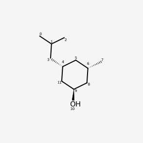 CC(C)C[C@@H]1C[C@H](C)C[C@@H](O)C1